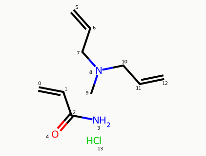 C=CC(N)=O.C=CCN(C)CC=C.Cl